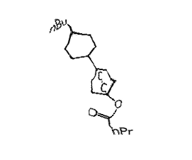 CCCCC1CCC(C23CCC(OC(=O)CCC)(CC2)CC3)CC1